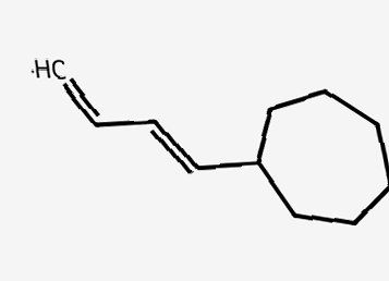 [CH]=CC=CC1CCCCCC1